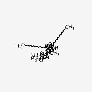 CCCCCCCCCCCCCCCC(=O)C(O)C(O)(C(=O)OC(C)OC(=O)c1c(I)cc(I)c(N(C(C)=O)C(C)=O)c1I)C(O)C(=O)CCCCCCCCCCCCCCC